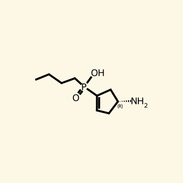 CCCCP(=O)(O)C1=CC[C@@H](N)C1